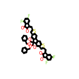 O=C1C(=O)c2c(F)cc(F)cc2/C1=C/c1cc2cc3c(cc2s1)-c1cc2sc(/C=C4\C(=O)C(=O)c5c(F)cc(F)cc54)cc2cc1C3(C(=O)OCc1ccccc1)C(=O)OCc1ccccc1